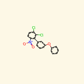 O=[N+]([O-])c1ccc(Cl)c(Cl)c1-c1cc[c]c(Oc2ccccc2)c1